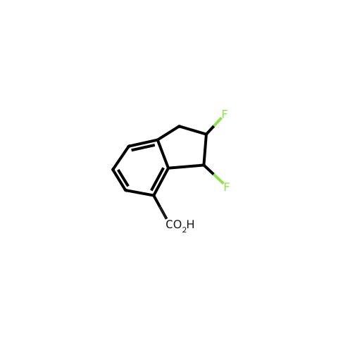 O=C(O)c1cccc2c1C(F)C(F)C2